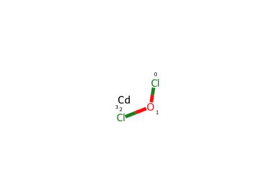 ClOCl.[Cd]